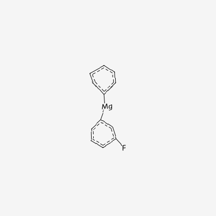 Fc1ccc[c]([Mg][c]2ccccc2)c1